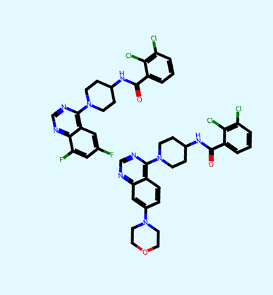 O=C(NC1CCN(c2ncnc3c(F)cc(F)cc23)CC1)c1cccc(Cl)c1Cl.O=C(NC1CCN(c2ncnc3cc(N4CCOCC4)ccc23)CC1)c1cccc(Cl)c1Cl